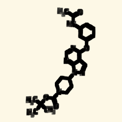 CC(=O)Nc1cccc(Oc2ncnc3c2cnn3C2CCN(C(=O)OC(C)(C)C)CC2)c1